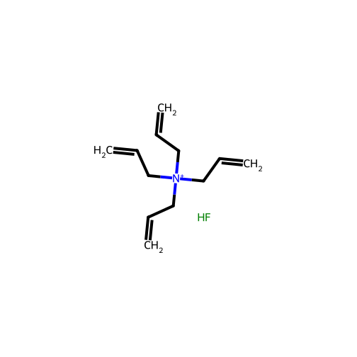 C=CC[N+](CC=C)(CC=C)CC=C.F